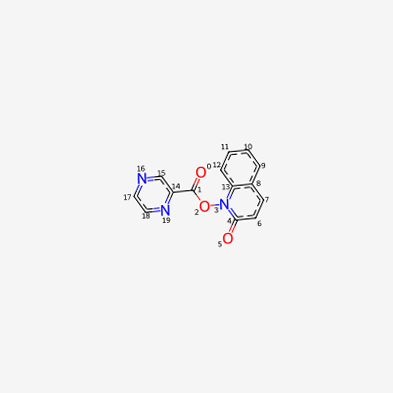 O=C(On1c(=O)ccc2ccccc21)c1cnccn1